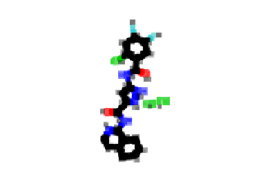 Cl.Cl.O=C(Nc1nccc2ccccc12)c1cc(NC(=O)c2cc(F)c(F)cc2Cl)[nH]n1